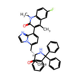 COC(=O)[C@H](Cc1ccc(-c2c(C)c3cc(F)ccc3n(C)c2=O)c2nccn12)NC(c1ccccc1)(c1ccccc1)c1ccccc1